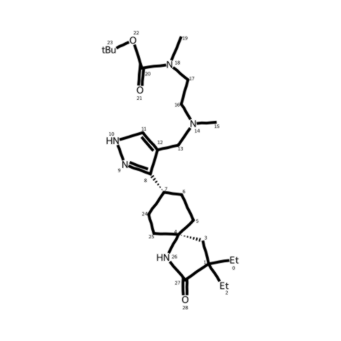 CCC1(CC)C[C@]2(CC[C@@H](c3n[nH]cc3CN(C)CCN(C)C(=O)OC(C)(C)C)CC2)NC1=O